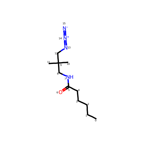 CCCCCC(=O)NCC(C)(C)CN=[N+]=[N-]